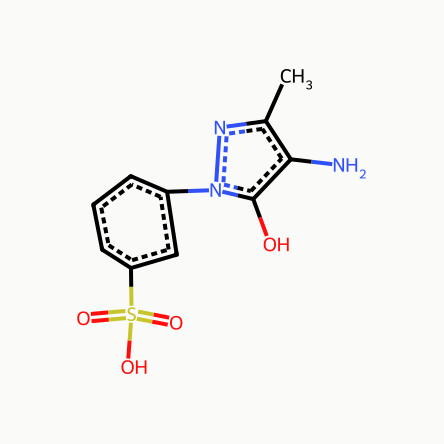 Cc1nn(-c2cccc(S(=O)(=O)O)c2)c(O)c1N